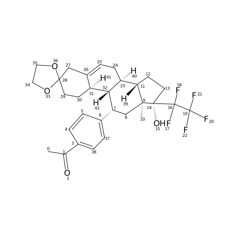 CC(=O)c1ccc([C@H]2C[C@@]3(C)[C@@H](CC[C@@]3(O)C(F)(F)C(F)(F)F)[C@@H]3CC=C4CC5(CC[C@@H]4[C@H]32)OCCO5)cc1